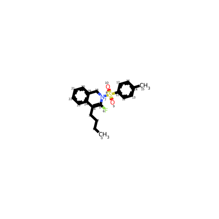 CCCCC1=C(F)N(S(=O)(=O)c2ccc(C)cc2)Cc2ccccc21